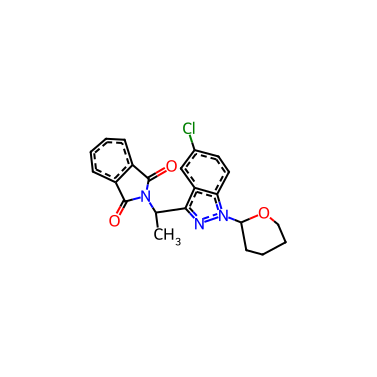 CC(c1nn(C2CCCCO2)c2ccc(Cl)cc12)N1C(=O)c2ccccc2C1=O